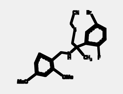 COc1ccc(CNC(C)(CSCC#N)c2cc(Br)ccc2F)c(OC)c1